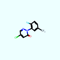 O=c1cc(Cl)cnn1-c1cc(C(F)(F)F)ccc1F